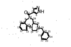 O=C(c1cn[nH]c1)N1Cc2ccccc2N2CCN(Cc3ccccc3)CC2C1